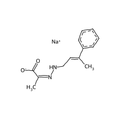 C/C(=N/NC/C=C(\C)c1ccccc1)C(=O)[O-].[Na+]